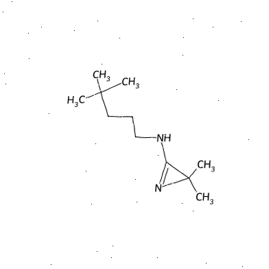 CC(C)(C)CCCNC1=NC1(C)C